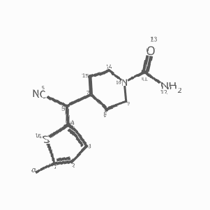 Cc1ccc(C(C#N)C2CCN(C(N)=O)CC2)s1